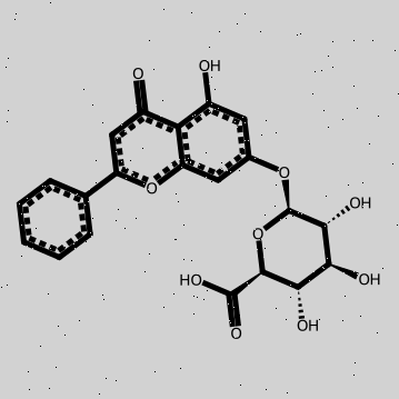 O=C(O)[C@H]1O[C@@H](Oc2cc(O)c3c(=O)cc(-c4ccccc4)oc3c2)[C@H](O)[C@@H](O)[C@@H]1O